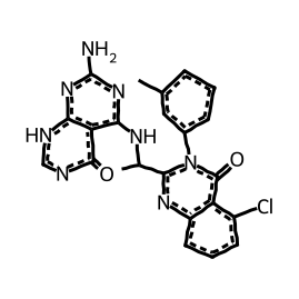 Cc1cccc(-n2c(C(C)Nc3nc(N)nc4[nH]cnc(=O)c34)nc3cccc(Cl)c3c2=O)c1